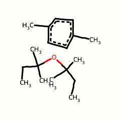 CCC(C)(C)OC(C)(C)CC.Cc1ccc(C)cc1